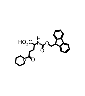 O=C(NC(CCC(=O)N1CCCCC1)C(=O)O)OCC1c2ccccc2-c2ccccc21